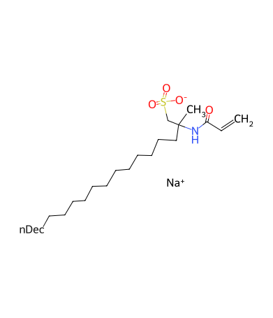 C=CC(=O)NC(C)(CCCCCCCCCCCCCCCCCCCCCC)CS(=O)(=O)[O-].[Na+]